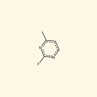 Cc1ccnc(F)n1